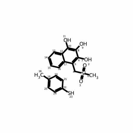 CS(=O)(=O)Cc1c(O)c(O)c(O)c2ccccc12.Cc1ccc(S)cc1